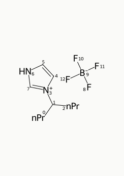 CCCC(CCC)[n+]1cc[nH]c1.F[B-](F)(F)F